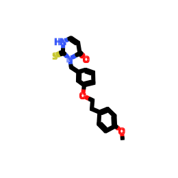 COc1ccc(CCOc2cccc(Cn3c(=O)cc[nH]c3=S)c2)cc1